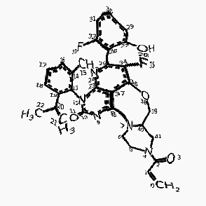 C=CC(=O)N1CCN2c3nc(=O)n(-c4c(C)cccc4C(C)C)c4nc(-c5c(O)cccc5F)c(F)c(c34)OCC2C1